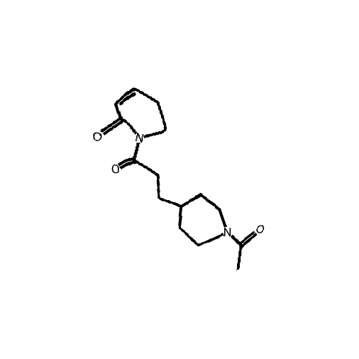 CC(=O)N1CCC(CCC(=O)N2CCC=CC2=O)CC1